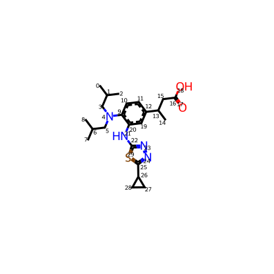 CC(C)CN(CC(C)C)c1ccc(C(C)CC(=O)O)cc1Nc1nnc(C2CC2)s1